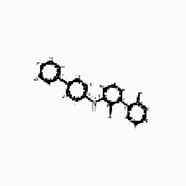 Cc1ccccc1-c1cccc(Nc2ccc(-c3ccccc3)cc2)c1C